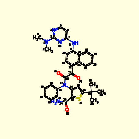 CN(C)c1nccc(Nc2ccc(C(=O)C(=O)N(c3ccccc3)c3cc(C(C)(C)C)sc3C(N)=O)c3ccccc23)n1